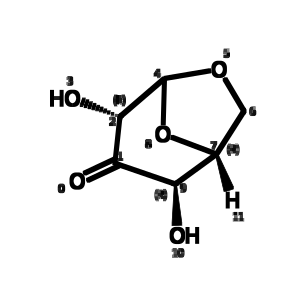 O=C1[C@H](O)C2OC[C@@H](O2)[C@H]1O